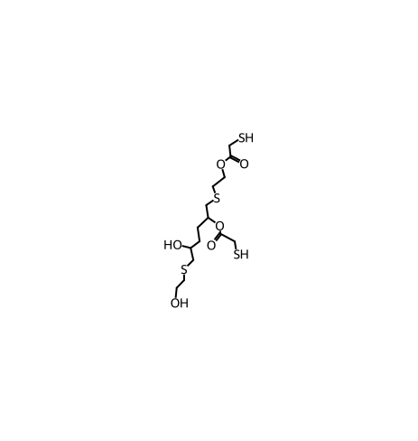 O=C(CS)OCCSCC(CCC(O)CSCCO)OC(=O)CS